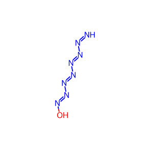 N=N/N=N/N=N/N=N/O